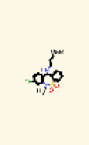 COCCCNC1c2ccc(Cl)cc2N(C)S(=O)(=O)c2ccccc21